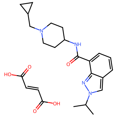 CC(C)n1cc2cccc(C(=O)NC3CCN(CC4CC4)CC3)c2n1.O=C(O)C=CC(=O)O